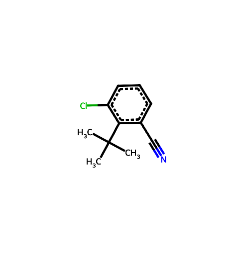 CC(C)(C)c1c(Cl)cccc1C#N